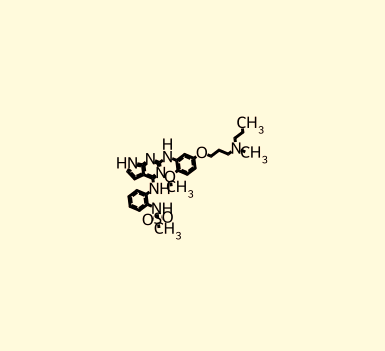 CCCN(C)CCCOc1ccc(OC)c(Nc2nc(Nc3ccccc3NS(C)(=O)=O)c3cc[nH]c3n2)c1